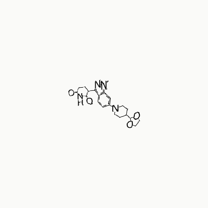 Cn1nc(C2CCC(=O)NC2=O)c2ccc(N3CCC(C4OCCO4)CC3)cc21